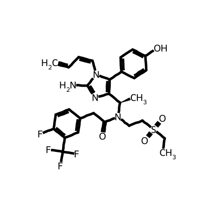 C=C/C=C\n1c(N)nc([C@@H](C)N(CCS(=O)(=O)CC)C(=O)Cc2ccc(F)c(C(F)(F)F)c2)c1-c1ccc(O)cc1